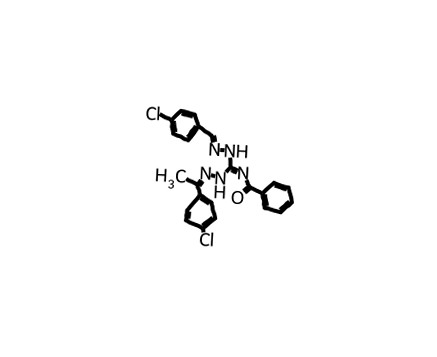 CC(=NNC(=NC(=O)c1ccccc1)NN=Cc1ccc(Cl)cc1)c1ccc(Cl)cc1